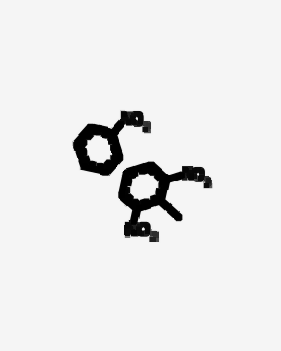 Cc1c([N+](=O)[O-])cccc1[N+](=O)[O-].O=[N+]([O-])c1ccccc1